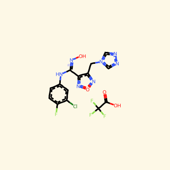 O/N=C(/Nc1ccc(F)c(Cl)c1)c1nonc1Cn1cnnc1.O=C(O)C(F)(F)F